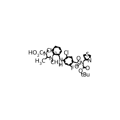 CC(N(C)C(=O)O)N(C)c1ccccc1Nc1cc(F)c(S(=O)(=O)N(C(=O)OC(C)(C)C)c2cscn2)cc1Cl